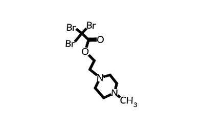 CN1CCN(CCOC(=O)C(Br)(Br)Br)CC1